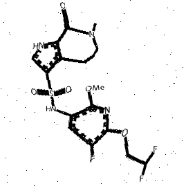 COc1nc(OCC(F)F)c(F)cc1NS(=O)(=O)c1c[nH]c2c1CCN(C)C2=O